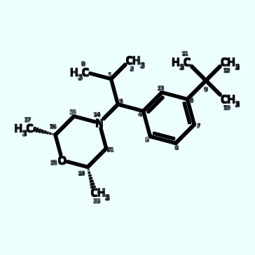 CC(C)C(c1cccc(C(C)(C)C)c1)N1C[C@@H](C)O[C@@H](C)C1